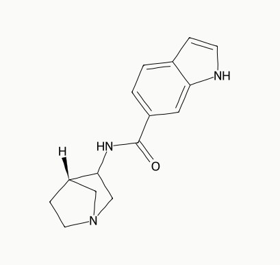 O=C(NC1CN2CC[C@H]1C2)c1ccc2cc[nH]c2c1